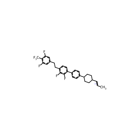 C/C=C/C1CCC(c2ccc(-c3ccc(CCc4cc(F)c(C(F)(F)F)c(F)c4)c(F)c3F)cc2)CC1